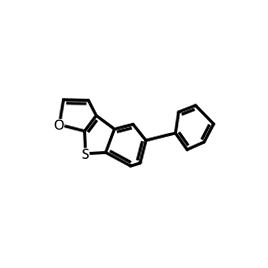 c1ccc(-c2ccc3sc4occc4c3c2)cc1